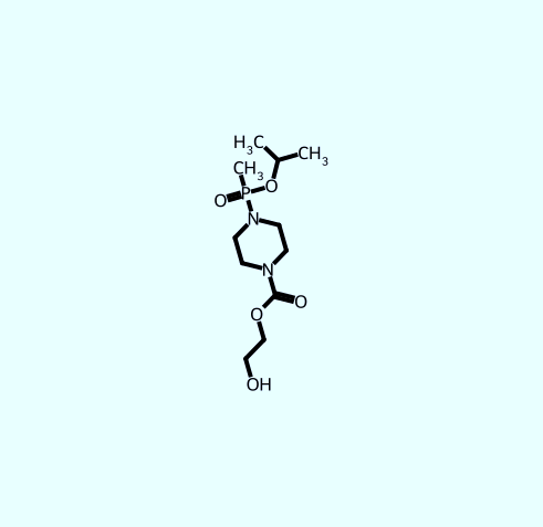 CC(C)OP(C)(=O)N1CCN(C(=O)OCCO)CC1